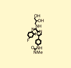 CNC(=O)Nc1ccc(-c2cnc3c(NCC(O)CO)nc4ccc(F)cc4n23)cc1